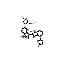 Cc1ccc(-c2cccc3[nH]c(-c4n[nH]c5ccc(-c6cn(C)nc6CO)nc45)nc23)s1